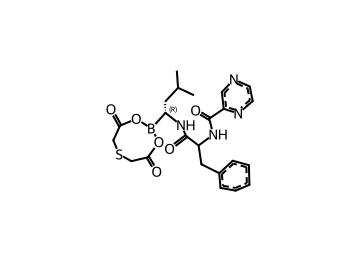 CC(C)C[C@H](NC(=O)C(Cc1ccccc1)NC(=O)c1cnccn1)B1OC(=O)CSCC(=O)O1